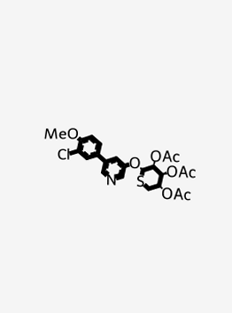 COc1ccc(-c2cncc(O[C@H]3SC[C@@H](OC(C)=O)[C@H](OC(C)=O)[C@H]3OC(C)=O)c2)cc1Cl